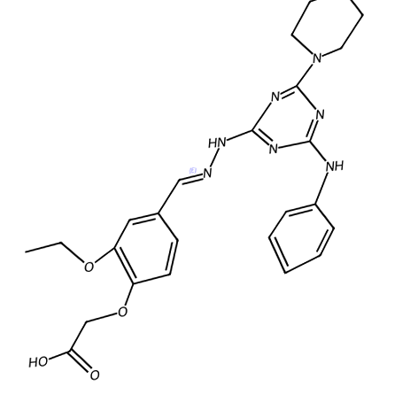 CCOc1cc(/C=N/Nc2nc(Nc3ccccc3)nc(N3CCCCC3)n2)ccc1OCC(=O)O